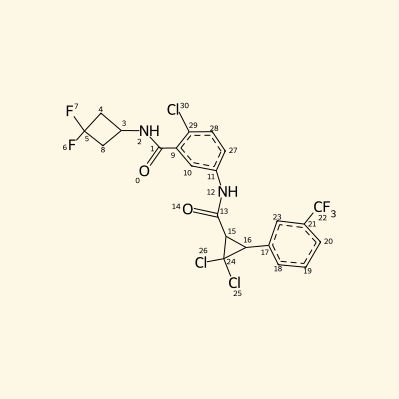 O=C(NC1CC(F)(F)C1)c1cc(NC(=O)C2C(c3cccc(C(F)(F)F)c3)C2(Cl)Cl)ccc1Cl